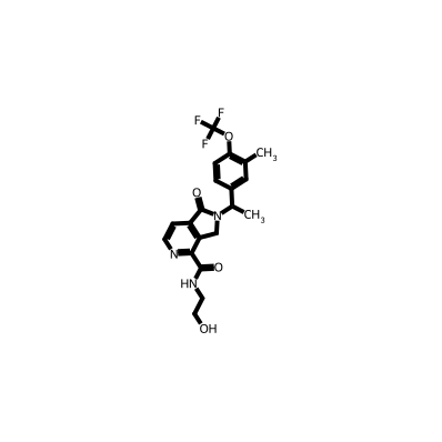 Cc1cc(C(C)N2Cc3c(ccnc3C(=O)NCCO)C2=O)ccc1OC(F)(F)F